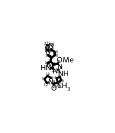 COc1nc(N[C@H]2C[C@@](C)(C(=O)N3CCCC3)C2)nc2[nH]cc(-c3ccc4ncnn4c3)c12